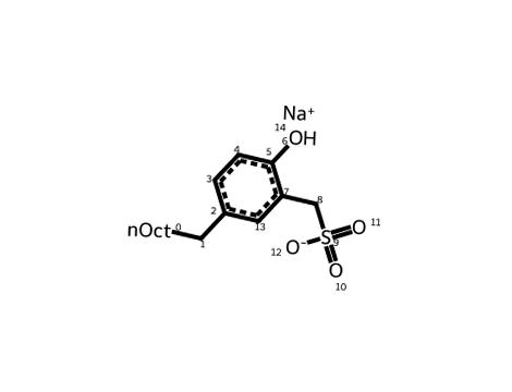 CCCCCCCCCc1ccc(O)c(CS(=O)(=O)[O-])c1.[Na+]